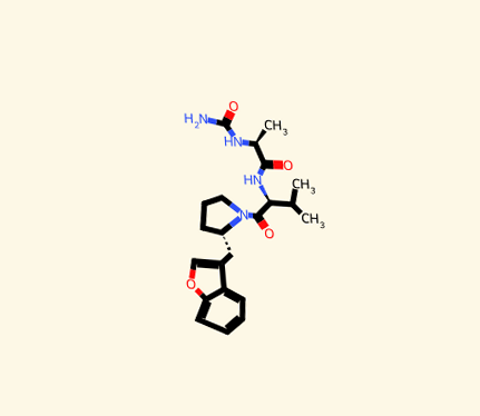 CC(C)[C@H](NC(=O)[C@H](C)NC(N)=O)C(=O)N1CCC[C@H]1Cc1coc2ccccc12